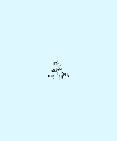 Br.Br.CCCCP.CCCCP